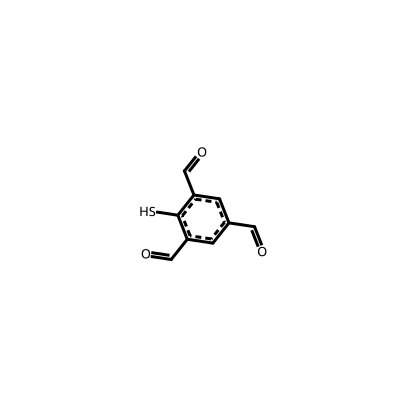 O=Cc1cc(C=O)c(S)c(C=O)c1